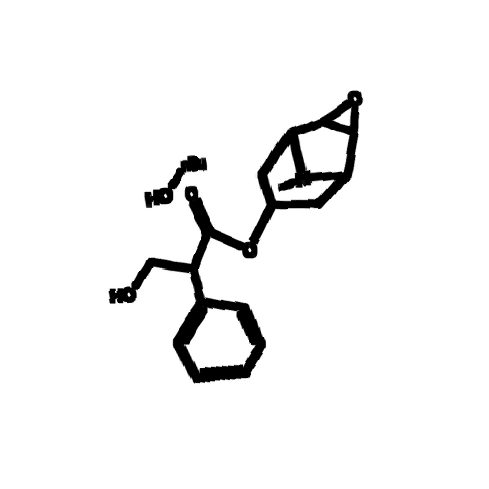 CCCCO.CN1C2CC(OC(=O)C(CO)c3ccccc3)CC1C1OC12